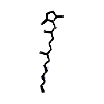 C=C/C=C/C=C/OC(=O)CCCC(=O)ON1C(=O)CCC1=O